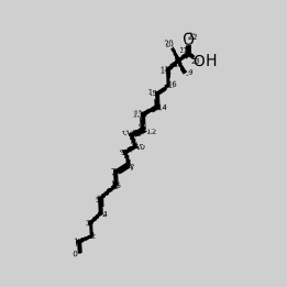 CCCCCCCC=CCCC=CCCCCCC(C)(C)C(=O)O